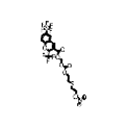 O=C(OCCSCCO[N+](=O)[O-])OCOC(=O)C1=Cc2cc(S(F)(F)(F)(F)F)ccc2O[C@@H]1C(F)(F)F